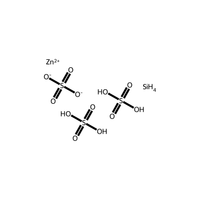 O=S(=O)(O)O.O=S(=O)(O)O.O=S(=O)([O-])[O-].[SiH4].[Zn+2]